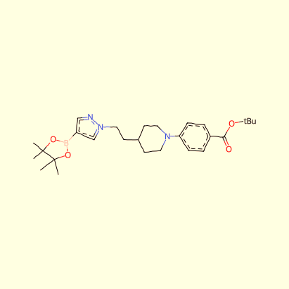 CC(C)(C)OC(=O)c1ccc(N2CCC(CCn3cc(B4OC(C)(C)C(C)(C)O4)cn3)CC2)cc1